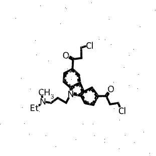 CCN(C)CCCn1c2ccc(C(=O)CCCl)cc2c2cc(C(=O)CCCl)ccc21